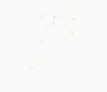 O=C1NC(=O)C(=Cc2ncnc(N3CC4(C3)CN(S(=O)(=O)c3ccccc3)C4)n2)S1